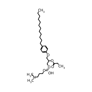 CCCCCCCCCCCCc1ccc(OCC(COP(O)OCCCN(C)C)OC(=O)CC)cc1